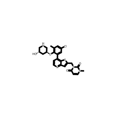 Cc1cc(Cl)cc(-c2ccnc3cc(Cn4c(=O)ccn(C)c4=O)sc23)c1O[C@@H]1CNC[C@@H](O)C1